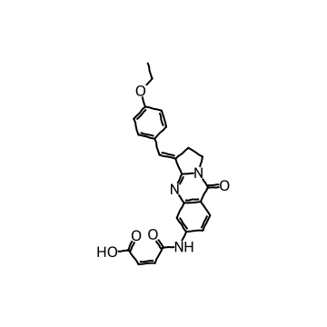 CCOc1ccc(/C=C2\CCn3c2nc2cc(NC(=O)/C=C\C(=O)O)ccc2c3=O)cc1